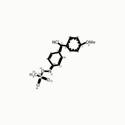 COc1ccc(C(C#N)=C2C=CC(=NOS(C)(=O)=O)C=C2)cc1